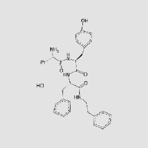 CC(C)[C@H](N)C(=O)N[C@@H](Cc1ccc(O)cc1)C(=O)N[C@@H](Cc1ccccc1)C(=O)NCCc1ccccc1.Cl